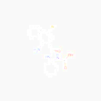 Nc1c(C(=O)NC2(NC(=O)O)CCCCC2)cc(Br)c2ccccc12